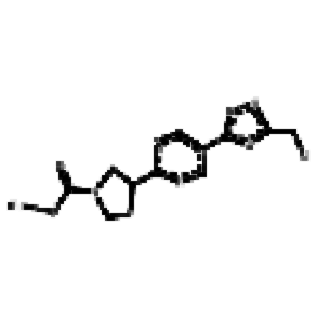 CC(C)(C)OC(=O)N1CCC(c2ncc(-c3nnc(CCl)o3)cn2)C1